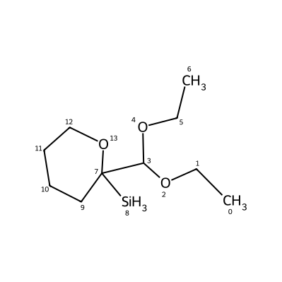 CCOC(OCC)C1([SiH3])CCCCO1